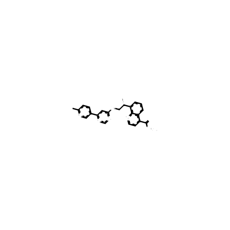 COC(=O)c1ccnc2c([C@H](C)CNc3cc(-c4ccc(C)nc4)ncn3)cccc12